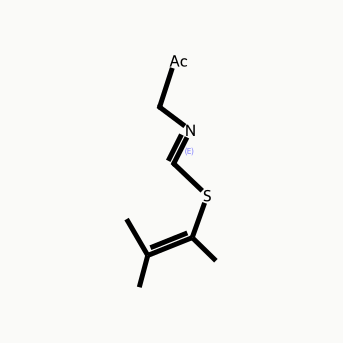 CC(=O)C/N=C/SC(C)=C(C)C